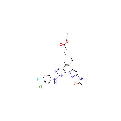 CCOC(=O)/C=C/c1cccc(-c2cnc(Nc3ccc(F)c(Cl)c3)nc2-n2ccc(NC(C)=O)n2)c1